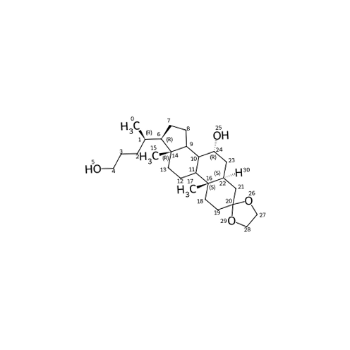 C[C@H](CCCO)[C@H]1CCC2C3C(CC[C@@]21C)[C@@]1(C)CCC2(C[C@@H]1C[C@H]3O)OCCO2